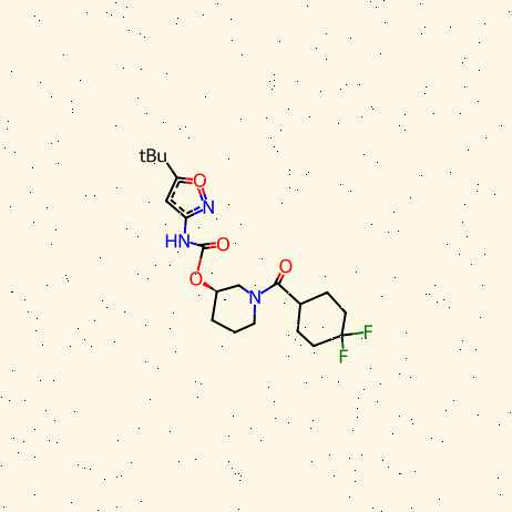 CC(C)(C)c1cc(NC(=O)O[C@@H]2CCCN(C(=O)C3CCC(F)(F)CC3)C2)no1